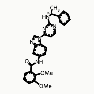 COc1cccc(C(=O)Nc2ccc3c(c2)ncn3-c2ccnc(N[C@@H](C)c3ccccc3)n2)c1OC